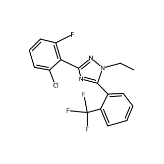 CCn1nc(-c2c(F)cccc2Cl)nc1-c1ccccc1C(F)(F)F